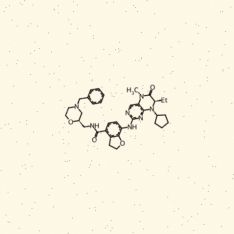 CC[C@@H]1C(=O)N(C)c2cnc(Nc3ccc(C(=O)NC[C@@H]4CN(Cc5ccccc5)CCO4)c4c3OCC4)nc2N1C1CCCC1